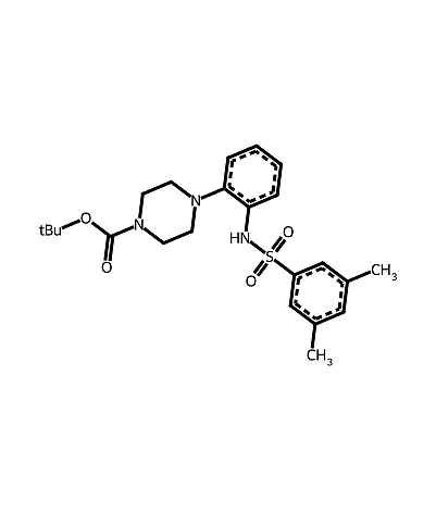 Cc1cc(C)cc(S(=O)(=O)Nc2ccccc2N2CCN(C(=O)OC(C)(C)C)CC2)c1